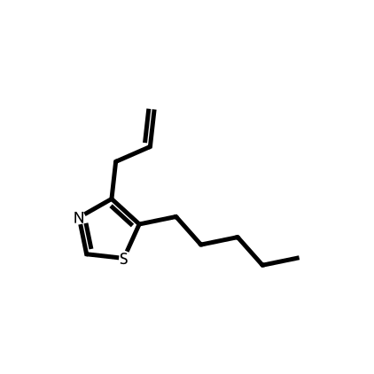 C=CCc1ncsc1CCCCC